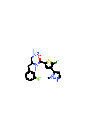 Cn1nccc1-c1cc(C(=O)NC(CN)Cc2cccc(F)c2)sc1Cl